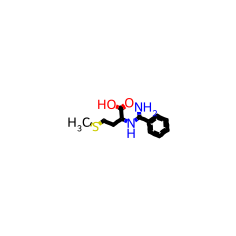 CSCCC(NC(N)c1ccccc1)C(=O)O